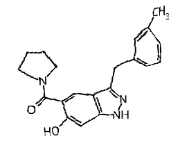 Cc1cccc(Cc2n[nH]c3cc(O)c(C(=O)N4CCCC4)cc23)c1